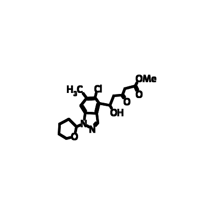 COC(=O)CC(=O)CC(O)c1c(Cl)c(C)cc2c1cnn2C1CCCCO1